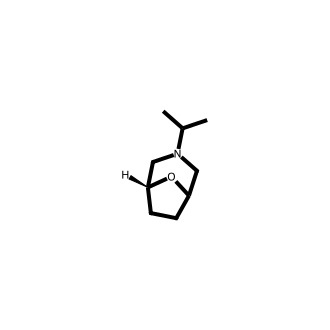 CC(C)N1CC2CC[C@H](C1)O2